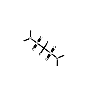 CN(C)S(=O)(=O)C(F)(F)S(=O)(=O)N(C)C